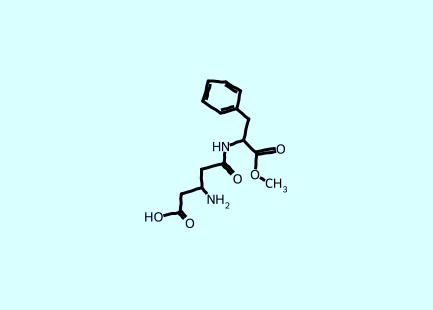 COC(=O)C(Cc1ccccc1)NC(=O)CC(N)CC(=O)O